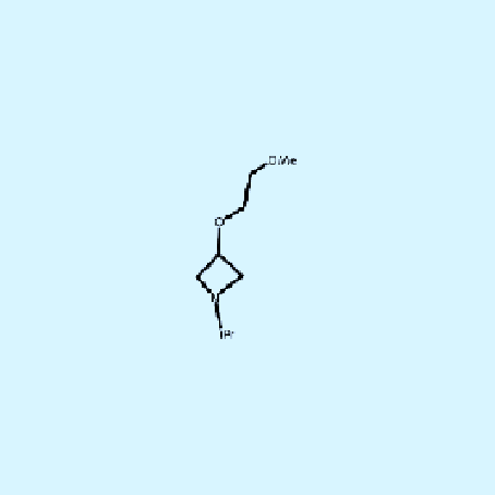 COCCOC1CN(C(C)C)C1